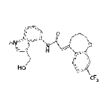 O=C(C=C1CCCOc2cc(C(F)(F)F)ccc21)Nc1cccc2[nH]cc(CO)c12